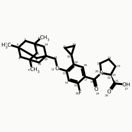 CC12CC3(C)CC(C)(C1)CC(COc1cc(F)c(C(=O)N4CCC[C@H]4C(=O)O)cc1C1CC1)(C2)C3